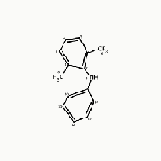 Cc1cc[c]c(C(F)(F)F)c1Nc1ccccc1